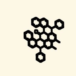 Cc1cc2c3c4c5c(cc(C)c14)C(c1ccccc1)c1ccc4ccccc4c1C5C(=O)C3c1c(ccc3ccccc13)C2c1ccccc1